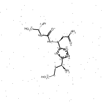 CC(C)[C@H](NC(=O)N[C@@H](CC(N)=O)c1nc([C@@H](N)CCC(=O)O)no1)C(=O)O